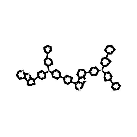 c1ccc(-c2ccc(N(c3ccc(-c4ccc(-c5cncc6sc7c(-c8ccc(N(c9ccc(-c%10ccccc%10)cc9)c9ccc(-c%10ccccc%10)cc9)cc8)cccc7c56)cc4)cc3)c3ccc(-c4cccc5c4sc4ncccc45)cc3)cc2)cc1